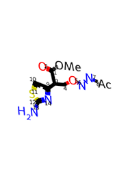 COC(=O)C(CON=NC(C)=O)c1csc(N)n1